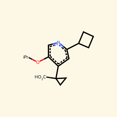 CC(C)Oc1cnc(C2CCC2)cc1C1(C(=O)O)CC1